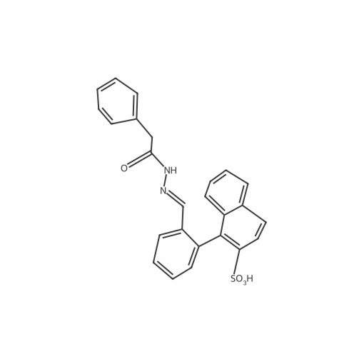 O=C(Cc1ccccc1)NN=Cc1ccccc1-c1c(S(=O)(=O)O)ccc2ccccc12